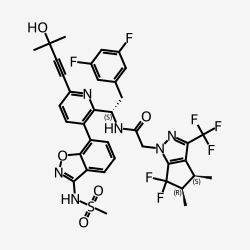 C[C@@H]1c2c(C(F)(F)F)nn(CC(=O)N[C@@H](Cc3cc(F)cc(F)c3)c3nc(C#CC(C)(C)O)ccc3-c3cccc4c(NS(C)(=O)=O)noc34)c2C(F)(F)[C@@H]1C